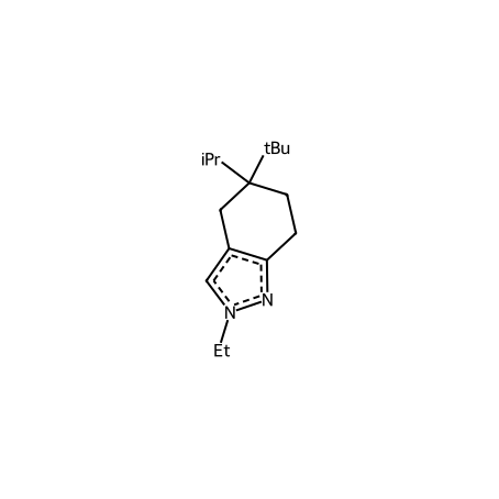 CCn1cc2c(n1)CCC(C(C)C)(C(C)(C)C)C2